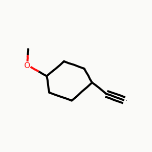 [C]#CC1CCC(OC)CC1